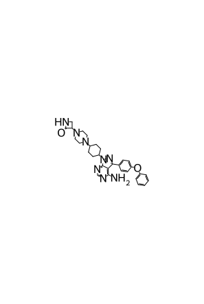 Nc1ncnc2c1c(-c1ccc(Oc3ccccc3)cc1)nn2C1CCC(N2CCN(C3CNC3=O)CC2)CC1